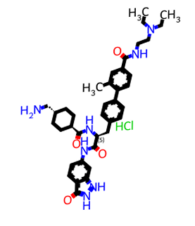 CCN(CC)CCNC(=O)c1ccc(-c2ccc(C[C@H](NC(=O)[C@H]3CC[C@H](CN)CC3)C(=O)Nc3ccc4c(=O)[nH][nH]c4c3)cc2)c(C)c1.Cl